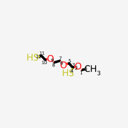 CCOC(S)COCCOCCS